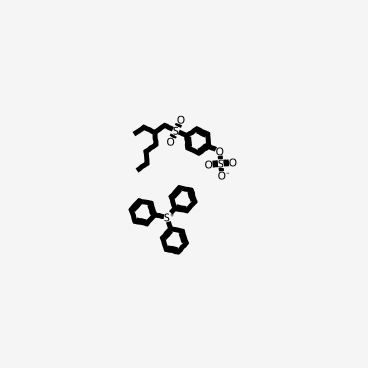 CCCCC(CC)CS(=O)(=O)c1ccc(OS(=O)(=O)[O-])cc1.c1ccc([S+](c2ccccc2)c2ccccc2)cc1